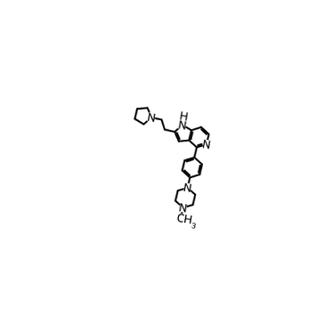 CN1CCN(c2ccc(-c3nccc4[nH]c(CCN5CCCC5)cc34)cc2)CC1